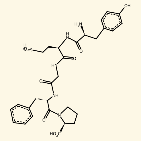 CSCC[C@@H](NC(=O)[C@@H](N)Cc1ccc(O)cc1)C(=O)NCC(=O)N[C@@H](Cc1ccccc1)C(=O)N1CCC[C@H]1C(=O)O.Cl